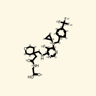 O=C(O)CNC(=O)CC1(CNc2ncnc(N(Cc3ccc(C(F)(F)F)cc3)C3CC3)c2F)CCOCC1